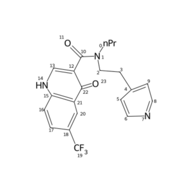 CCCN(CCc1ccncc1)C(=O)c1c[nH]c2ccc(C(F)(F)F)cc2c1=O